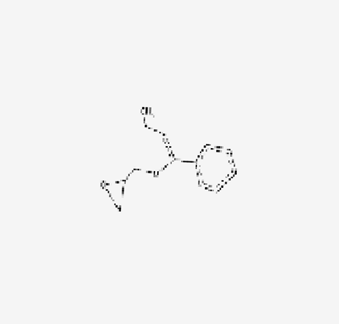 CCC=C(OCC1CO1)c1ccccc1